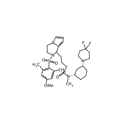 COc1cc(C)c(S(=O)(=O)N2CCn3cccc3C2CCCC(=O)N(C)[C@H]2CCC[C@@H](N3CCC(F)(F)CC3)C2)c(C)c1